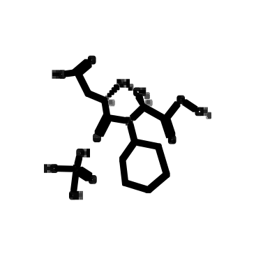 COC(=O)[C@H](C)N(C(=O)[C@@H](N)CC(=O)O)C1CCCCC1.O=P(O)(O)O